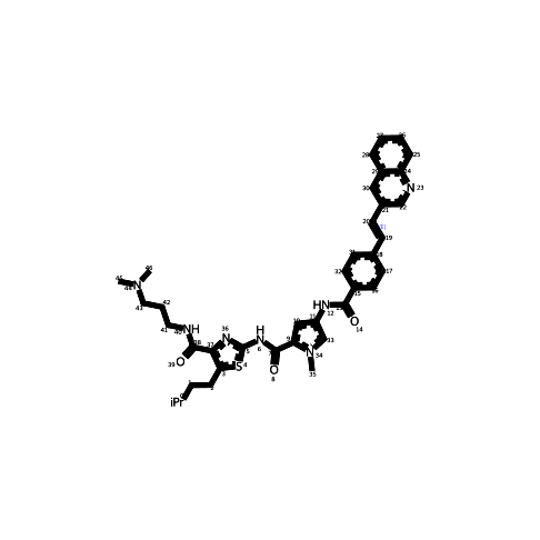 CC(C)CCc1sc(NC(=O)c2cc(NC(=O)c3ccc(/C=C/c4cnc5ccccc5c4)cc3)cn2C)nc1C(=O)NCCCN(C)C